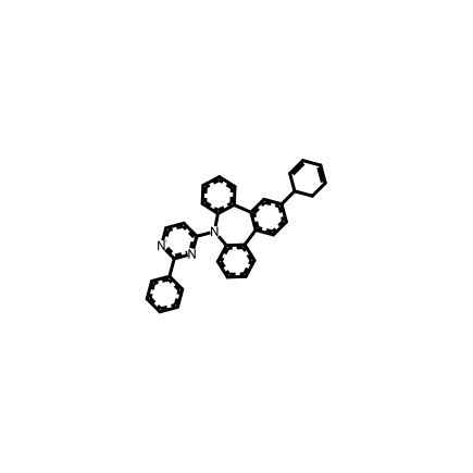 C1=CCC(c2ccc3c(c2)-c2ccccc2N(c2ccnc(-c4ccccc4)n2)c2ccccc2-3)C=C1